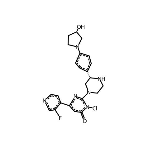 O=c1cc(-c2ccncc2F)nc(N2CCN[C@@H](c3ccc(N4CC[C@@H](O)C4)cc3)C2)n1Cl